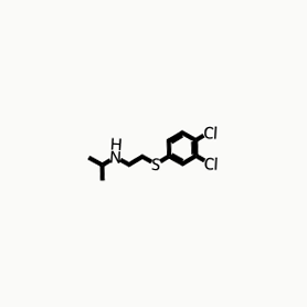 CC(C)NCCSc1ccc(Cl)c(Cl)c1